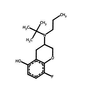 CCCN(C1COc2c(F)ccc(O)c2C1)C(C)(C)C